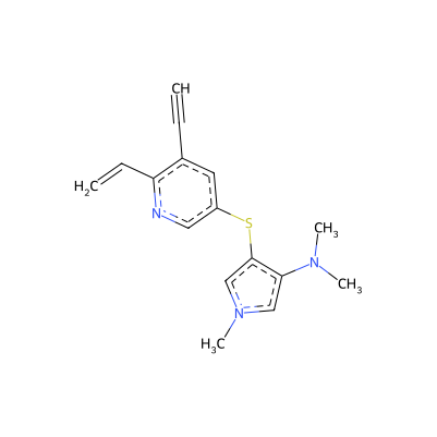 C#Cc1cc(Sc2cn(C)cc2N(C)C)cnc1C=C